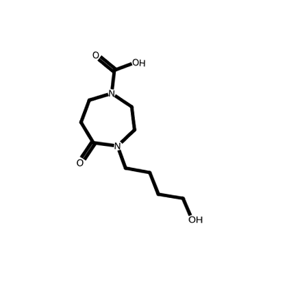 O=C(O)N1CCC(=O)N(CCCCO)CC1